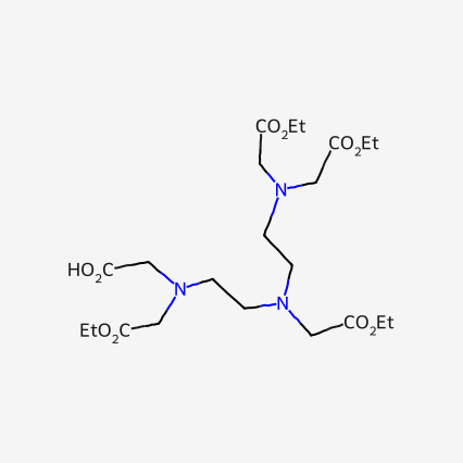 CCOC(=O)CN(CCN(CC(=O)O)CC(=O)OCC)CCN(CC(=O)OCC)CC(=O)OCC